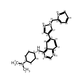 CN(C)[C@H]1CC[C@H](Nc2ncnc3ccc(-c4cnn(Cc5ccccn5)c4)cc23)CC1